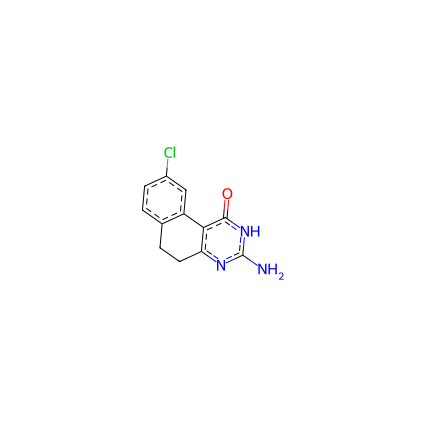 Nc1nc2c(c(=O)[nH]1)-c1cc(Cl)ccc1CC2